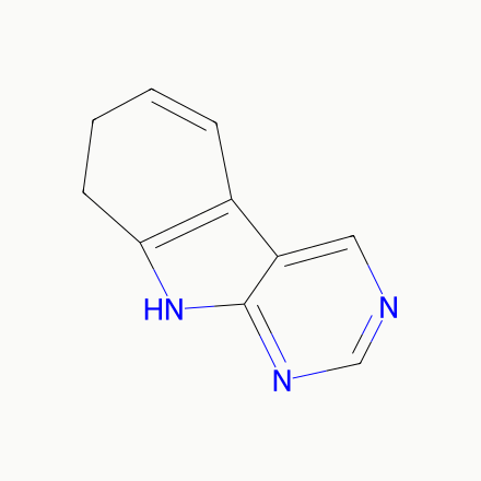 C1=Cc2c([nH]c3ncncc23)CC1